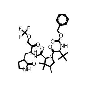 C[C@@H]1CN(C(=O)[C@@H](NC(=O)OCc2ccccc2)C(C)(C)C)[C@H](C(=O)N[C@@H](C[C@@H]2CCNC2=O)C(=O)COC(F)(F)F)C1(C)C